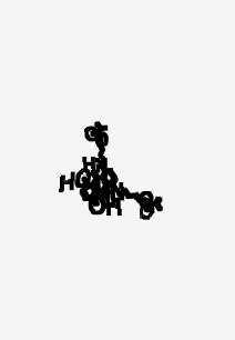 C=C(C)C(=O)OCCCCNc1ccc(NCCCCOC(=O)C(=C)C)c2c1C(=C)c1c(O)ccc(O)c1C2=O